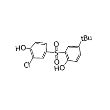 CC(C)(C)c1ccc(O)c(S(=O)(=O)c2ccc(O)c(Cl)c2)c1